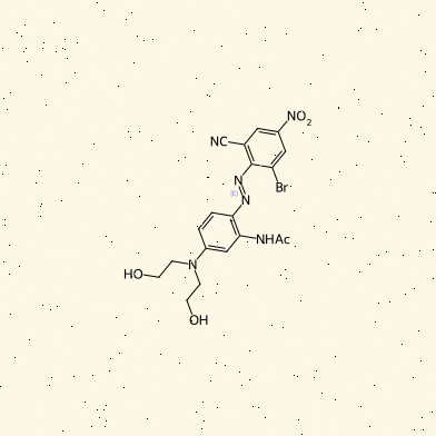 CC(=O)Nc1cc(N(CCO)CCO)ccc1/N=N/c1c(Br)cc([N+](=O)[O-])cc1C#N